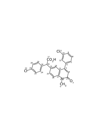 Cn1c(=O)cc(-c2cccc(Cl)c2)c2cc(C(C(=O)O)c3ccc(Cl)cc3)ccc21